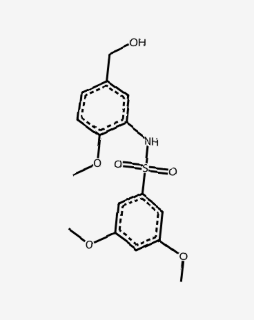 COc1cc(OC)cc(S(=O)(=O)Nc2cc(CO)ccc2OC)c1